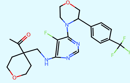 CC(=O)C1(CNc2ncnc(N3CCOCC3c3ccc(C(F)(F)F)cc3)c2F)CCOCC1